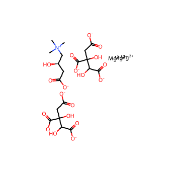 C[N+](C)(C)C[C@H](O)CC(=O)[O-].O=C([O-])CC(O)(C(=O)[O-])C(O)C(=O)[O-].O=C([O-])CC(O)(C(=O)[O-])C(O)C(=O)[O-].[Mg+2].[Mg+2].[Mg+2]